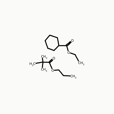 CCCOC(=O)C(C)(C)C.CCOC(=O)C1CCCCC1